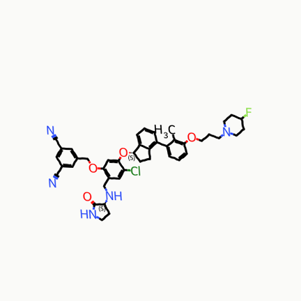 Cc1c(OCCCN2CCC(F)CC2)cccc1-c1cccc2c1CC[C@@H]2Oc1cc(OCc2cc(C#N)cc(C#N)c2)c(CN[C@H]2CCNC2=O)cc1Cl